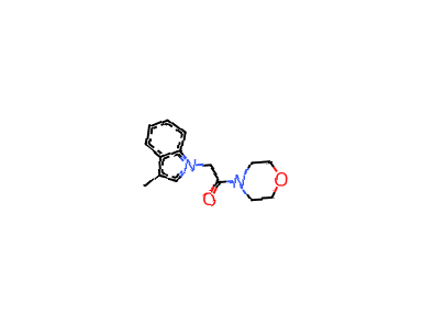 Cc1cn(CC(=O)N2CCOCC2)c2ccccc12